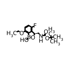 CCOc1ccc(F)c2c1B(O)O[C@@H]2CNC(=O)OC(C)(C)C